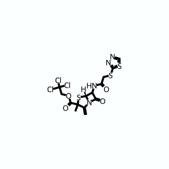 C=C1N2C(=O)C(NC(=O)CSc3nncs3)[C@H]2SC1(C)C(=O)OCC(Cl)(Cl)Cl